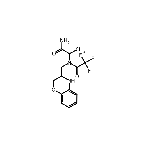 CC(C(N)=O)N(CC1COc2ccccc2N1)C(=O)C(F)(F)F